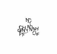 CC(=O)N1C[C@H](c2nc(Nc3cccc(F)c3)cc(-c3cccnc3)n2)CC[C@H]1C(F)(F)F